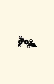 COc1ccc2c(c1)C(c1ccc(N3C(=O)C4C5C=CC(C6CC56)C4C3=O)cc1)=CC2=O